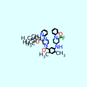 Cc1cc(C)c(C(=O)N2CCN(c3ccccn3)[C@H](CO[Si](C)(C)C(C)(C)C)C2)cc1NC1CCN(c2ccccc2OC(F)F)CC1